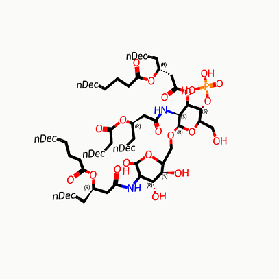 CCCCCCCCCCCCCC(=O)O[C@H](CCCCCCCCCCC)CC(=O)NC1C(O)OC(CO[C@@H]2OC(CO)[C@@H](OP(=O)(O)O)C(OC(=O)C[C@@H](CCCCCCCCCCC)OC(=O)CCCCCCCCCCCCC)[C@@H]2NC(=O)C[C@@H](CCCCCCCCCCC)OC(=O)CCCCCCCCCCC)[C@@H](O)[C@@H]1O